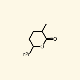 CCCC1CCC(C)C(=O)O1